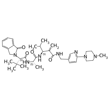 C=C(C(=O)NCc1ccc(N2CCN(C)CC2)nc1)[C@@H](NC(=O)[C@H](C)NC(=O)[C@@H](N1Cc2ccccc2C1=O)C(C)(C)C)C(C)C